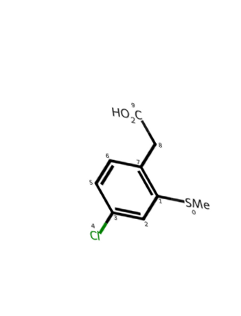 CSc1cc(Cl)ccc1CC(=O)O